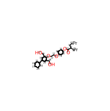 CC(C)CC(C(=O)Oc1ccc(OCCOc2c(CO)cc(-c3ccccc3)cc2CO)cc1)C(C)C